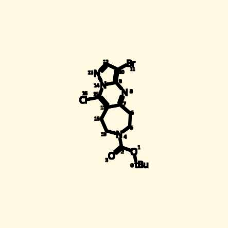 CC(C)(C)OC(=O)N1CCc2nc3c(Br)cnn3c(Cl)c2CC1